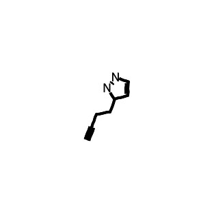 C#CCCC1C=CN=N1